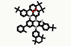 Cc1ccccc1-c1cc2c3c(c1)N(c1ccc4c(c1)C(C)(C)CCC4(C)C)c1c(sc4cc(C(C)(C)C)ccc14)B3c1cc(C(C)(C)C)ccc1N2c1ccc(C(C)(C)C)cc1-c1ccc(C(C)(C)C)cc1